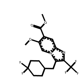 COC(=O)c1cc2nc(C(F)(F)F)c(CC3CCC(F)(F)CC3)n2cc1OC